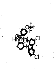 N=S(=O)(NC1CCCC(n2c3ccc(Cl)cc3c3cc(Cl)ccc32)C1O)c1ccc(OC(F)(F)F)cc1